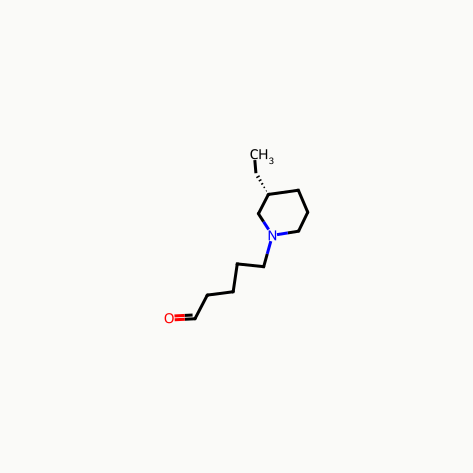 CC[C@@H]1CCCN(CCCCC=O)C1